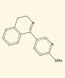 CSc1ccc(C2=NCCc3ccccc32)cn1